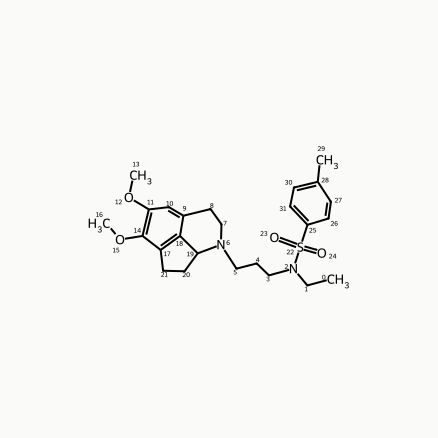 CCN(CCCN1CCc2cc(OC)c(OC)c3c2C1CC3)S(=O)(=O)c1ccc(C)cc1